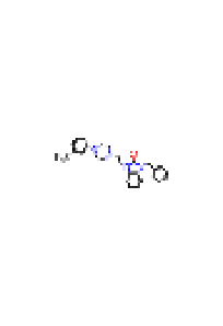 O=c1n(CCN2CCN(c3cccc(C(F)(F)F)c3)CC2)c2ccccc2n1Cc1ccccc1